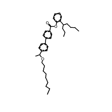 CCCCCCCCCOC(C)c1ccc(-c2ccc(C(=O)Oc3ccccc3C(CCC)CCCC)cc2)cc1